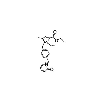 CCOC(=O)c1cc(C)c(Cc2ccc(Cn3ccccc3=O)cc2)n1CC